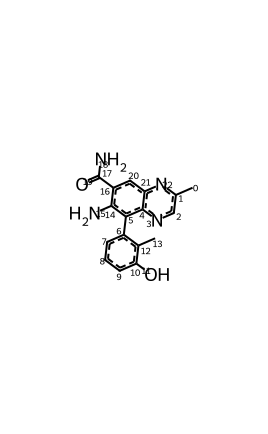 Cc1cnc2c(-c3cccc(O)c3C)c(N)c(C(N)=O)cc2n1